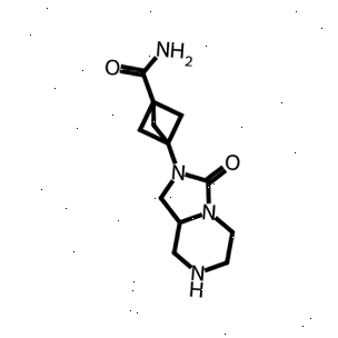 NC(=O)C12CC(N3CC4CNCCN4C3=O)(C1)C2